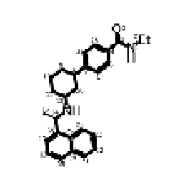 CCNC(=O)c1ccc(C2CCCC(N[C@H](C)c3cccc4ccccc34)C2)cc1